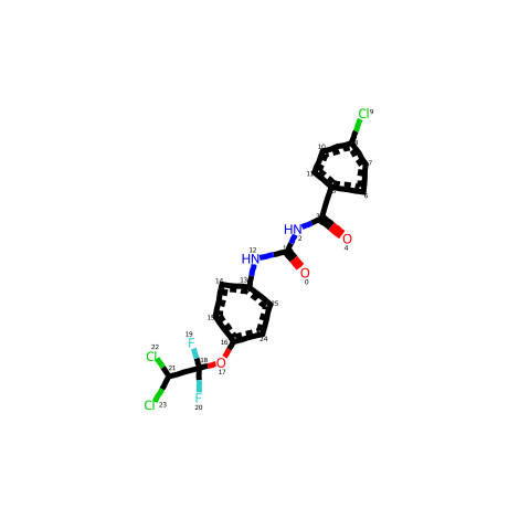 O=C(NC(=O)c1ccc(Cl)cc1)Nc1ccc(OC(F)(F)C(Cl)Cl)cc1